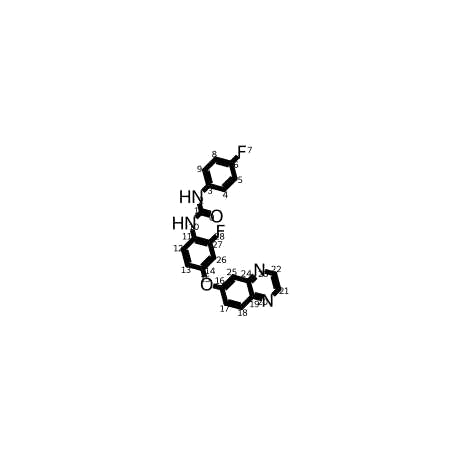 O=C(Nc1ccc(F)cc1)Nc1ccc(Oc2ccc3nccnc3c2)cc1F